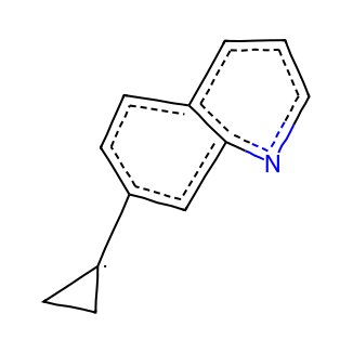 c1cnc2cc([C]3CC3)ccc2c1